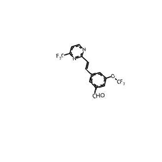 O=Cc1cc(/C=C/c2nccc(C(F)(F)F)n2)cc(OC(F)(F)F)c1